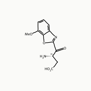 COc1cccc2nc(C(=O)[C@@H](N)CC(=O)O)oc12